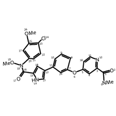 CNC(=O)c1cc(Oc2cccc(-c3c[nH]c(C(=O)N(OC)c4ccc(Cl)c(OC)c4)c3)c2)ccn1